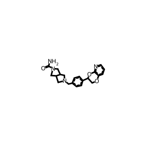 NC(=O)N1CC2CN(Cc3ccc(C4COc5cccnc5O4)cc3)CC2C1